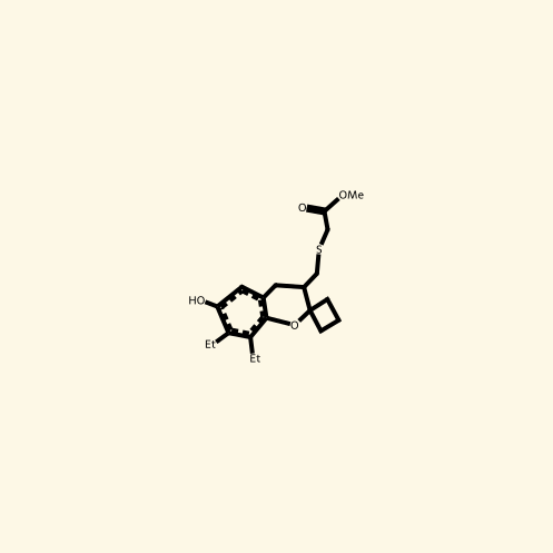 CCc1c(O)cc2c(c1CC)OC1(CCC1)C(CSCC(=O)OC)C2